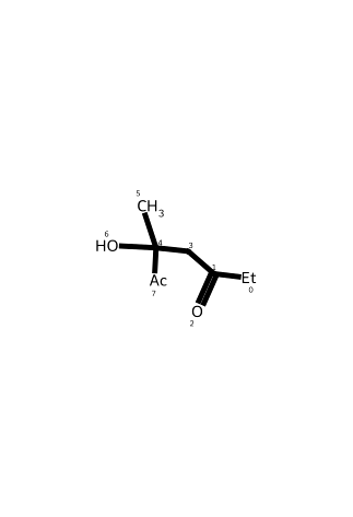 CCC(=O)CC(C)(O)C(C)=O